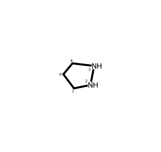 C1CNNC1